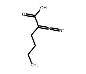 CCCCC(=[N+]=[N-])C(=O)O